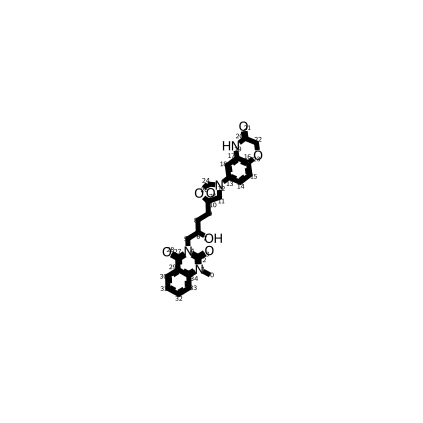 Cn1c(=O)n(CC(O)CCC23CN(c4ccc5c(c4)NC(=O)CO5)C(O2)O3)c(=O)c2ccccc21